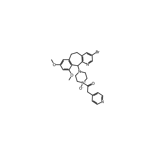 COc1cc2c(c(OC)c1)C(N1CC[N+]([O-])(C(=O)Cc3ccncc3)CC1)c1ncc(Br)cc1CC2